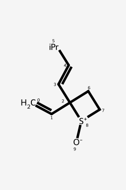 C=CC1(C=CC(C)C)CC[S+]1[O-]